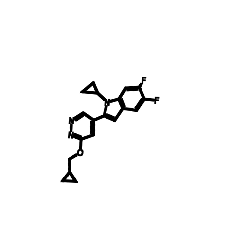 Fc1cc2cc(-c3cnnc(OCC4CC4)c3)n(C3CC3)c2cc1F